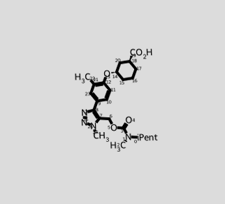 CCCC(C)N(C)C(=O)OCc1c(-c2ccc(O[C@H]3CCC[C@H](C(=O)O)C3)c(C)c2)nnn1C